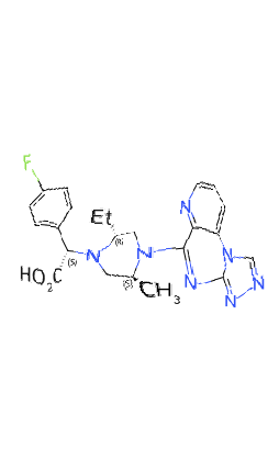 CC[C@@H]1CN(c2nc3nncn3c3cccnc23)[C@@H](C)CN1[C@H](C(=O)O)c1ccc(F)cc1